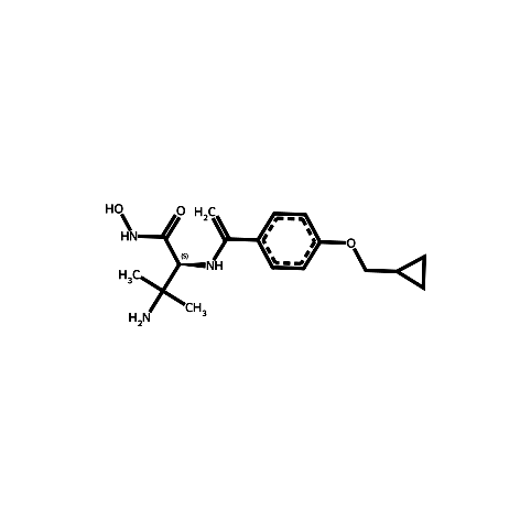 C=C(N[C@H](C(=O)NO)C(C)(C)N)c1ccc(OCC2CC2)cc1